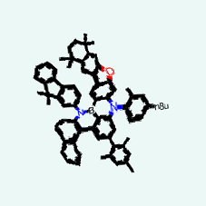 CCCCc1ccc(N2c3cc4oc5cc6c(cc5c4cc3B3c4c(cc(-c5c(C)cc(C)cc5C)cc42)-c2c(ccc4ccccc24)N3c2ccc3c(c2)C(C)(C)c2ccccc2-3)C(C)(C)CCC6(C)C)c(C)c1